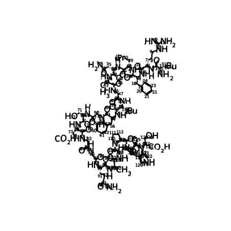 CC[C@H](C)[C@H](N)C(=O)N[C@@H](CCCNC(=N)N)C(=O)N[C@@H](Cc1ccccc1)C(=O)N[C@@H](CC(C)C)C(=O)N[C@@H](CC(N)=O)C(=O)N[C@@H](C)C(=O)NCC(=O)N[C@H](C(=O)N[C@@H](Cc1ccccc1)C(=O)NCC(=O)N[C@@H](CO)C(=O)N[C@@H](CC(=O)O)C(=O)NCC(=O)NCC(=O)N[C@@H](CCC(N)=O)C(=O)N[C@@H](C)C(=O)N[C@@H](CC(C)C)C(=O)N1CCC[C@H]1C(=O)N[C@@H](Cc1c[nH]cn1)C(=O)N[C@@H](CO)C(=O)O)[C@@H](C)CC